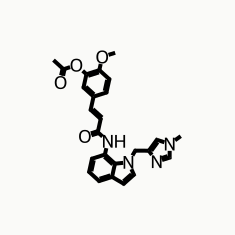 COc1ccc(/C=C/C(=O)Nc2cccc3ccn(Cc4cn(C)cn4)c23)cc1OC(C)=O